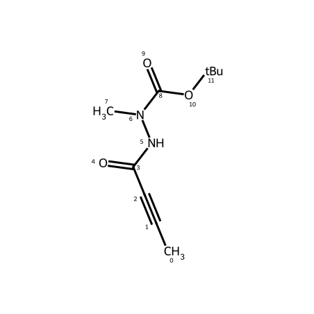 CC#CC(=O)NN(C)C(=O)OC(C)(C)C